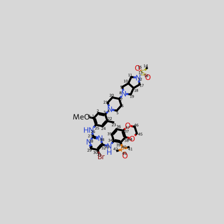 COc1cc(N2CCC(N3CC4CN(S(C)(=O)=O)CC4C3)CC2)c(C)cc1Nc1ncc(Br)c(Nc2ccc3c(c2P(C)(C)=O)OCCO3)n1